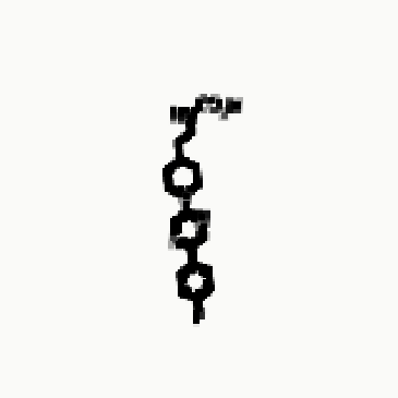 O=C(O)NCCC1CCN(c2cnc(-c3ccc(F)cc3)cn2)CC1